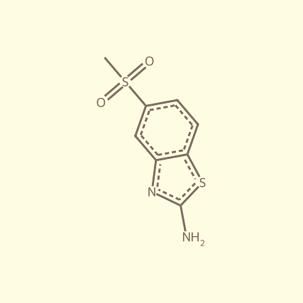 CS(=O)(=O)c1ccc2sc(N)nc2c1